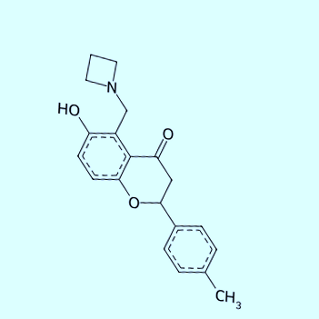 Cc1ccc(C2CC(=O)c3c(ccc(O)c3CN3CCC3)O2)cc1